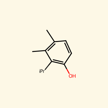 Cc1ccc(O)c(C(C)C)c1C